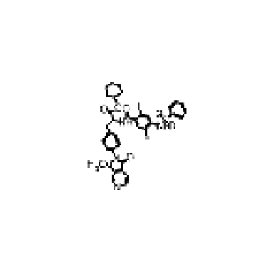 Cn1c2cnccc2c(=O)n1-c1ccc(C[C@H](NC(=O)c2cc(F)c(NS(=O)(=O)c3ccccc3)cc2F)C(=O)OC2CCCCC2)cc1